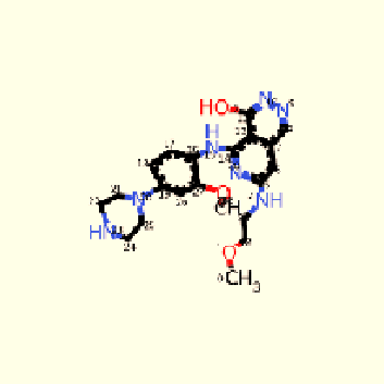 COCCNc1cc2cnnc(O)c2c(Nc2ccc(N3CCNCC3)cc2OC)n1